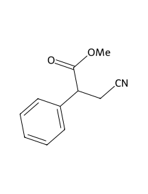 COC(=O)C(CC#N)c1ccccc1